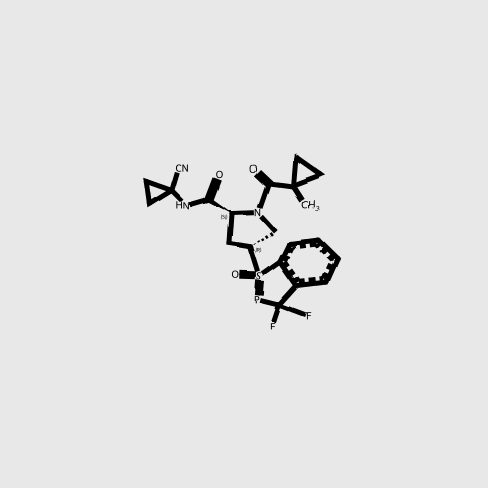 CC1(C(=O)N2C[C@H](S3(=O)=PC(F)(F)c4ccccc43)C[C@H]2C(=O)NC2(C#N)CC2)CC1